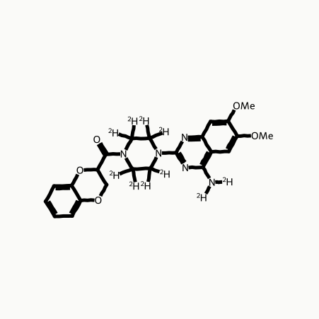 [2H]N([2H])c1nc(N2C([2H])([2H])C([2H])([2H])N(C(=O)C3COc4ccccc4O3)C([2H])([2H])C2([2H])[2H])nc2cc(OC)c(OC)cc12